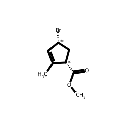 COC(=O)[C@H]1C[C@@H](Br)C=C1C